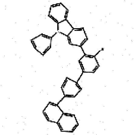 Brc1ccc(-c2ccc(-c3cccc4ccccc34)cc2)cc1-c1ccc2c3ccccc3n(-c3ccccc3)c2c1